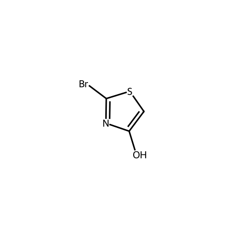 Oc1csc(Br)n1